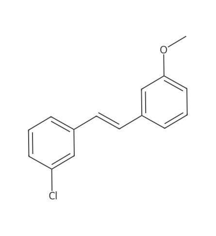 COc1cccc(C=Cc2cccc(Cl)c2)c1